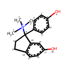 C[N+](C)(C)C1(c2ccc(O)cc2)CCc2ccc(O)cc21